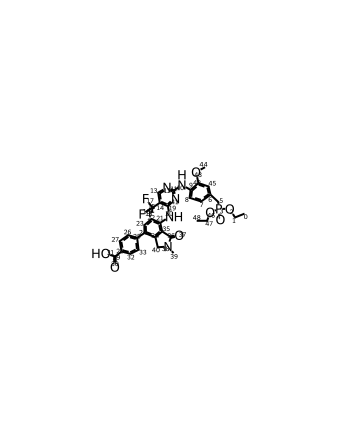 CCOP(=O)(Cc1ccc(Nc2ncc(C(F)(F)F)c(Nc3ccc(-c4ccc(C(=O)O)cc4)c4c3C(=O)N(C)C4)n2)c(OC)c1)OCC